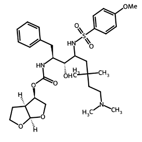 COc1ccc(S(=O)(=O)NC(CC(C)(C)CCN(C)C)[C@H](O)[C@H](Cc2ccccc2)NC(=O)O[C@H]2CO[C@H]3OCC[C@H]32)cc1